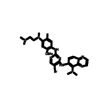 COc1cc(N(C)CCN(C)C)c(C)cc1Nc1ncc(Br)c(Nc2ccc3nccnc3c2P(C)C)n1